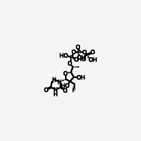 C[C@@H](OP(=O)(O)OP(=O)(O)OP(=O)(O)O)[C@H]1O[C@@H](n2ncc(=O)[nH]c2=O)[C@@](O)(CF)C1O